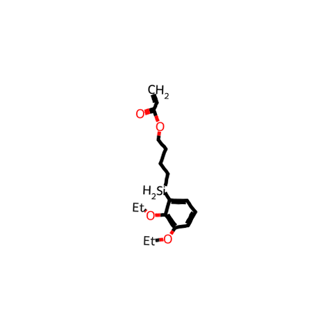 C=CC(=O)OCCCC[SiH2]c1cccc(OCC)c1OCC